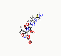 Cc1ncsc1-c1ccc(C(C)NC(=O)[C@@H]2C[C@@H](O)CN2C(=O)C(c2cc(OCC=O)no2)C(C)C)cn1